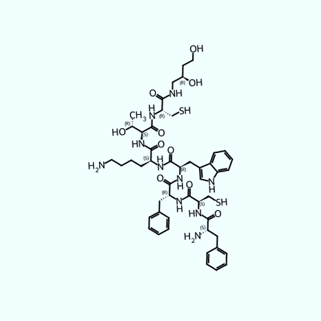 C[C@@H](O)[C@H](NC(=O)[C@H](CCCCN)NC(=O)[C@@H](Cc1c[nH]c2ccccc12)NC(=O)[C@@H](Cc1ccccc1)NC(=O)[C@@H](CS)NC(=O)[C@@H](N)Cc1ccccc1)C(=O)N[C@@H](CS)C(=O)NC[C@H](O)CCO